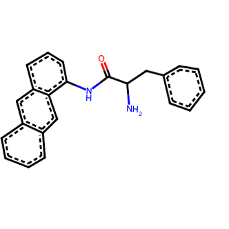 NC(Cc1ccccc1)C(=O)Nc1cccc2cc3ccccc3cc12